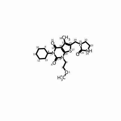 COCCn1c(=O)n(C2CCCCC2)c(=O)c2c(C)c(CN3CCNC3=O)sc21